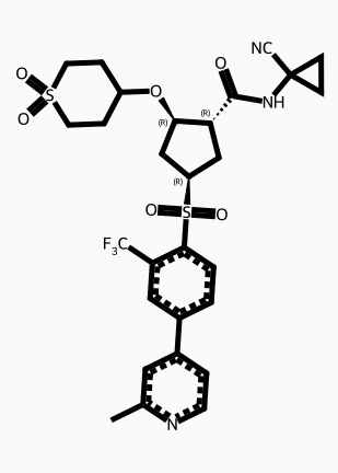 Cc1cc(-c2ccc(S(=O)(=O)[C@H]3C[C@@H](OC4CCS(=O)(=O)CC4)[C@H](C(=O)NC4(C#N)CC4)C3)c(C(F)(F)F)c2)ccn1